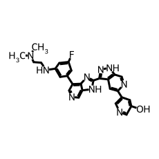 CN(C)CCNc1cc(F)cc(-c2cncc3[nH]c(-c4n[nH]c5cnc(-c6cncc(O)c6)cc45)nc23)c1